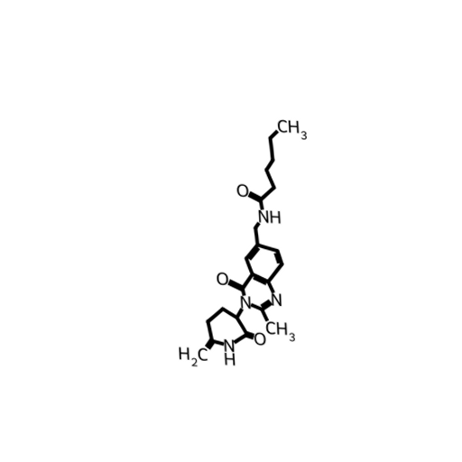 C=C1CCC(n2c(C)nc3ccc(CNC(=O)CCCCC)cc3c2=O)C(=O)N1